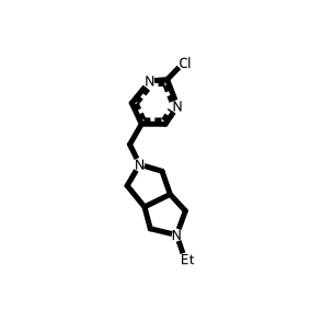 CCN1CC2CN(Cc3cnc(Cl)nc3)CC2C1